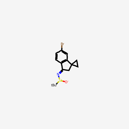 CC(C)(C)[S+]([O-])/N=C1\CC2(CC2)c2cc(Br)ccc21